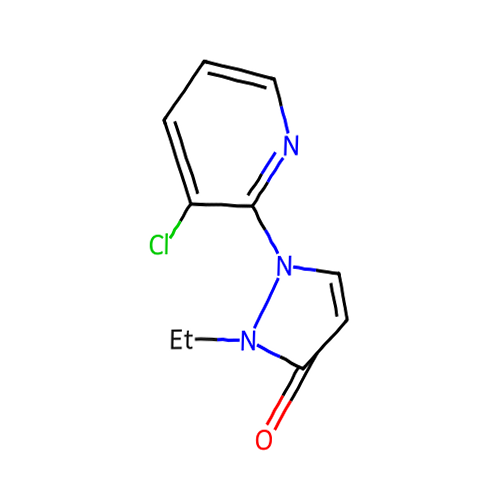 CCn1c(=O)ccn1-c1ncccc1Cl